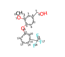 COc1cc(CO)ccc1Oc1cccc(C(F)(F)F)c1